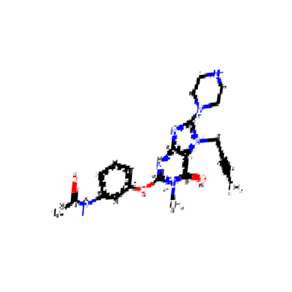 CC#CCn1c(N2CCNCC2)nc2nc(Oc3cccc(NC(C)=O)c3)n(C)c(=O)c21